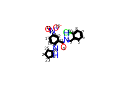 O=C(NCc1ccccc1Cl)c1cc([N+](=O)[O-])ccc1NC1CCCC1